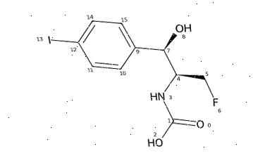 O=C(O)N[C@H](CF)[C@H](O)c1ccc(I)cc1